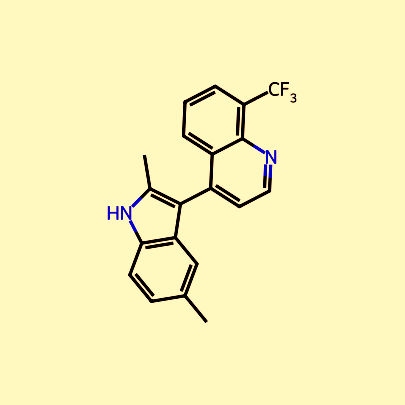 Cc1ccc2[nH]c(C)c(-c3ccnc4c(C(F)(F)F)cccc34)c2c1